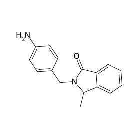 CC1c2ccccc2C(=O)N1Cc1ccc(N)cc1